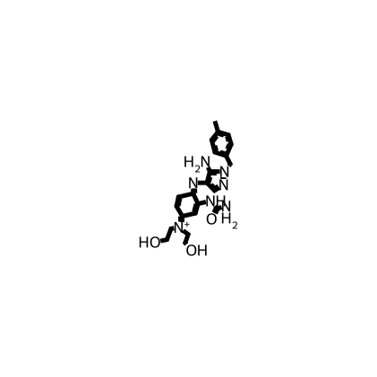 Cc1ccc(Cn2ncc(/N=C3/C=CC(=[N+](CCO)CCO)C=C3NC(N)=O)c2N)cc1